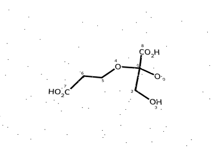 [O]C(CO)(OC[CH]C(=O)O)C(=O)O